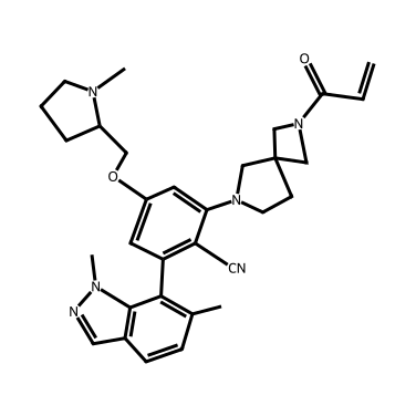 C=CC(=O)N1CC2(CCN(c3cc(OCC4CCCN4C)cc(-c4c(C)ccc5cnn(C)c45)c3C#N)C2)C1